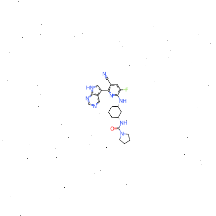 N#Cc1cc(F)c(N[C@H]2CCC[C@@H](NC(=O)N3CCCC3)C2)nc1-c1c[nH]c2ncncc12